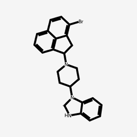 Brc1ccc2cccc3c2c1CC3N1CCC(N2[CH]Nc3ccccc32)CC1